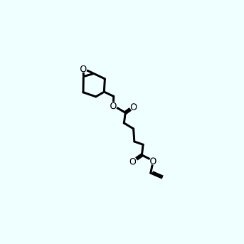 C=COC(=O)CCCCC(=O)OCC1CCC2OC2C1